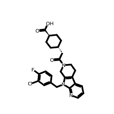 O=C(C[C@H]1CC[C@H](C(=O)O)CC1)N1CCc2c(n(Cc3ccc(F)c(Cl)c3)c3ncccc23)C1